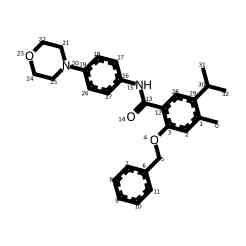 Cc1cc(OCc2ccccc2)c(C(=O)Nc2ccc(N3CCOCC3)cc2)cc1C(C)C